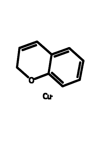 C1=Cc2ccccc2OC1.[Cu]